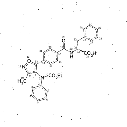 CCOC(=O)N(c1ccccc1)c1c(C)noc1-c1ccc(C(=O)N[C@@H](Cc2ccccc2)C(=O)O)cc1